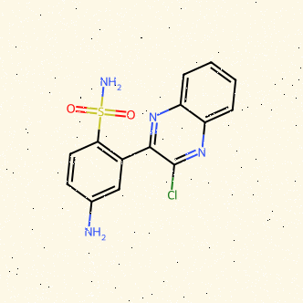 Nc1ccc(S(N)(=O)=O)c(-c2nc3ccccc3nc2Cl)c1